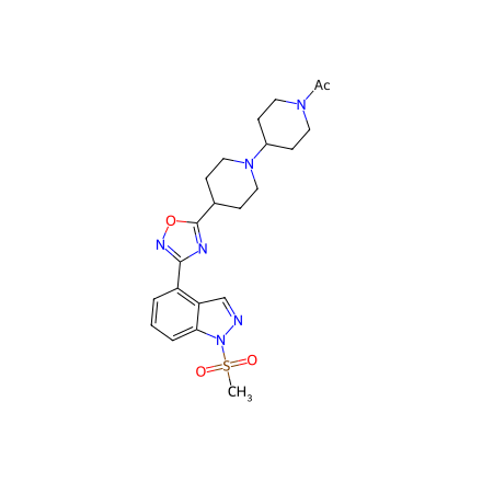 CC(=O)N1CCC(N2CCC(c3nc(-c4cccc5c4cnn5S(C)(=O)=O)no3)CC2)CC1